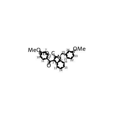 CCOC(=O)c1c(C(=O)c2ccc(OC)cc2)c2ccccc2n1Cc1cccc(OC)c1